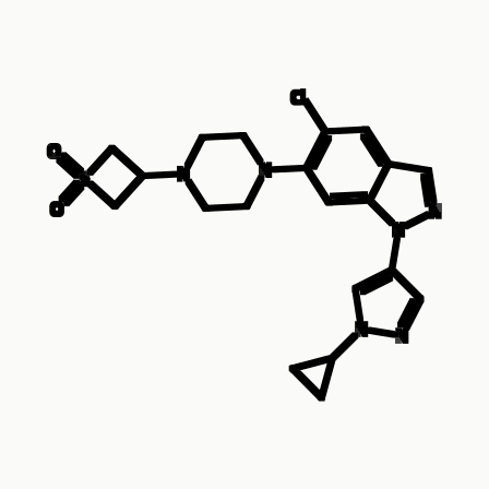 O=S1(=O)CC(N2CCN(c3cc4c(cnn4-c4cnn(C5CC5)c4)cc3Cl)CC2)C1